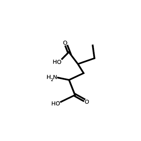 CCC(CC(N)C(=O)O)C(=O)O